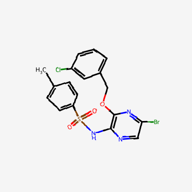 Cc1ccc(S(=O)(=O)Nc2ncc(Br)nc2OCc2cccc(Cl)c2)cc1